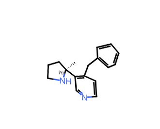 C[C@@]1(c2cnccc2Cc2ccccc2)CCCN1